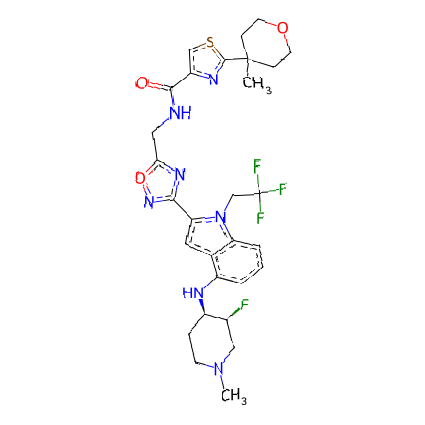 CN1CC[C@@H](Nc2cccc3c2cc(-c2noc(CNC(=O)c4csc(C5(C)CCOCC5)n4)n2)n3CC(F)(F)F)[C@@H](F)C1